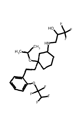 CC(C)OC1(CCc2ccccc2OC(F)(F)C(F)F)CCCC(NCC(O)C(F)(F)F)C1